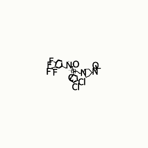 CC(=O)N(C)C1CCN(CC[C@](C)(C(=O)N(C)Cc2ccc(F)c(C(F)(F)F)c2)c2ccc(Cl)c(Cl)c2)CC1